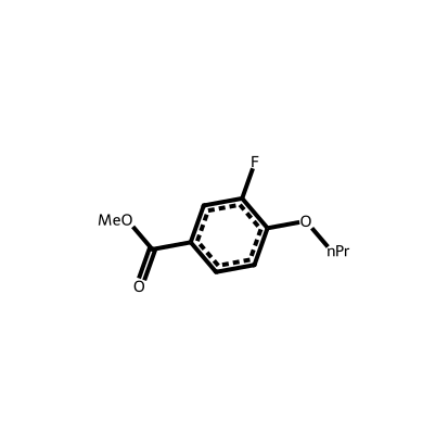 CCCOc1ccc(C(=O)OC)cc1F